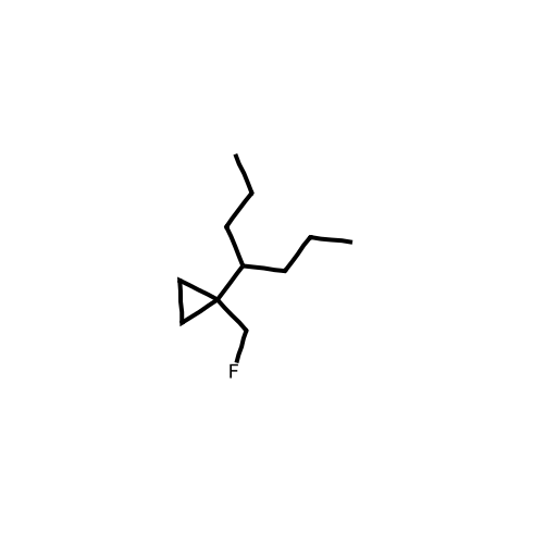 CCCC(CCC)C1(CF)CC1